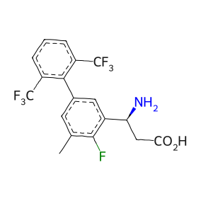 Cc1cc(-c2c(C(F)(F)F)cccc2C(F)(F)F)cc([C@@H](N)CC(=O)O)c1F